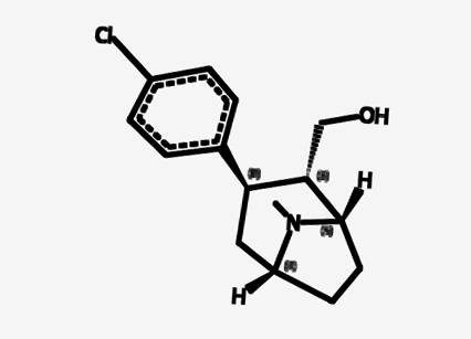 CN1[C@@H]2CC[C@H]1[C@@H](CO)[C@H](c1ccc(Cl)cc1)C2